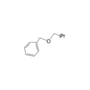 CC(C)CO[CH]c1ccccc1